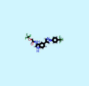 O=C(COC(F)(F)F)Nc1c[nH]c2ccc(-c3cnn(-c4ccc(C(F)(F)F)cc4)c3)cc12